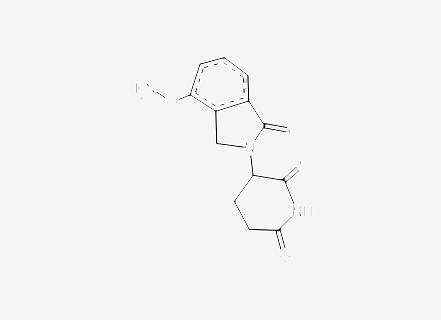 NOc1cccc2c1CN(C1CCC(=O)NC1=O)C2=O